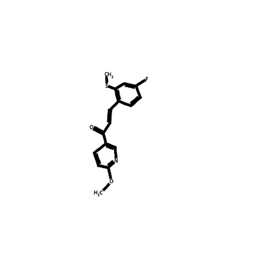 COc1ccc(C(=O)C=Cc2ccc(F)cc2SC)cn1